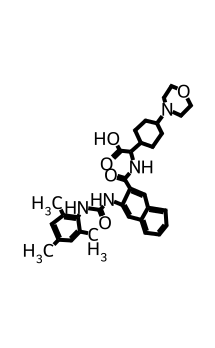 Cc1cc(C)c(NC(=O)Nc2cc3ccccc3cc2C(=O)NC(C(=O)O)C2CCC(N3CCOCC3)CC2)c(C)c1